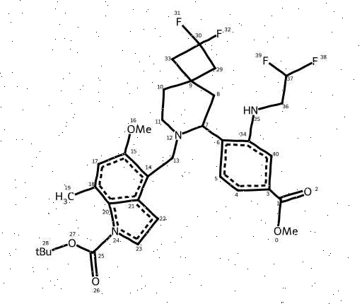 COC(=O)c1ccc(C2CC3(CCN2Cc2c(OC)cc(C)c4c2ccn4C(=O)OC(C)(C)C)CC(F)(F)C3)c(NCC(F)F)c1